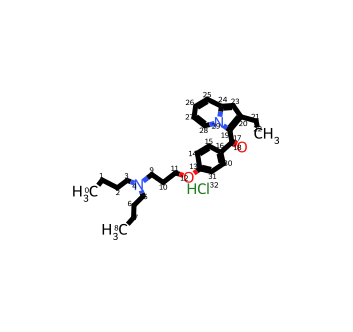 CCCCN(CCCC)CCCOc1ccc(C(=O)c2c(CC)cc3ccccn23)cc1.Cl